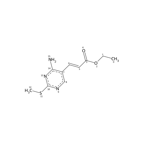 CCOC(=O)C=Cc1cnc(SC)nc1N